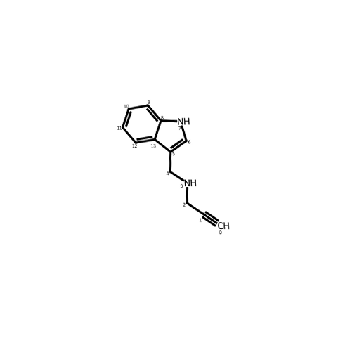 C#CCNCc1c[nH]c2ccccc12